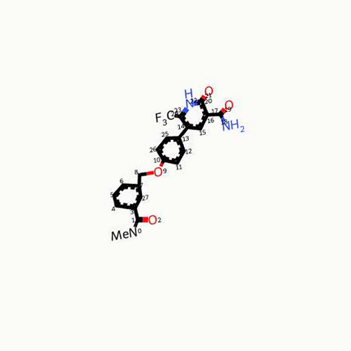 CNC(=O)c1cccc(COc2ccc(-c3cc(C(N)=O)c(=O)[nH]c3C(F)(F)F)cc2)c1